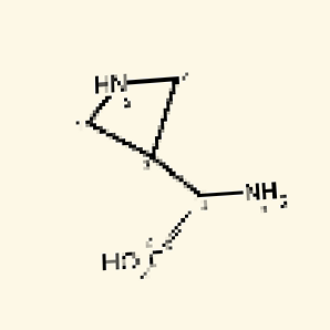 N[C@H](C(=O)O)C1CNC1